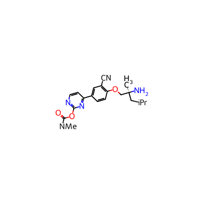 CNC(=O)Oc1nccc(-c2ccc(OC[C@@](C)(N)CC(C)C)c(C#N)c2)n1